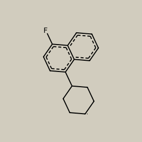 Fc1ccc(C2CC[CH]CC2)c2ccccc12